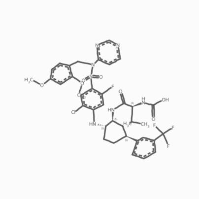 COc1ccc(CN(c2ccncn2)S(=O)(=O)c2cc(Cl)c(N[C@H]3CC[C@H](c4cccc(C(F)(F)F)c4)C[C@@H]3NC(=O)[C@@H](NC(=O)O)C(C)C)cc2F)c(OC)c1